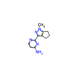 Cn1nc(-c2nccc(N)n2)c2c1CCC2